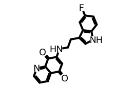 O=C1C=C(NCCc2c[nH]c3ccc(F)cc23)C(=O)c2ncccc21